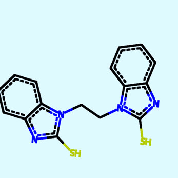 Sc1nc2ccccc2n1CCn1c(S)nc2ccccc21